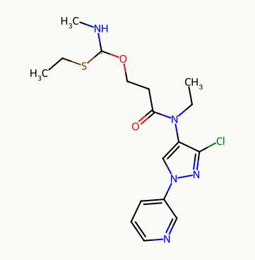 CCS[C](NC)OCCC(=O)N(CC)c1cn(-c2cccnc2)nc1Cl